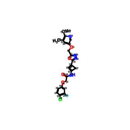 COc1ncc(OCc2nnc(C34CC(NC(=O)COc5ccc(Cl)c(F)c5)(C3)C4)o2)cc1C